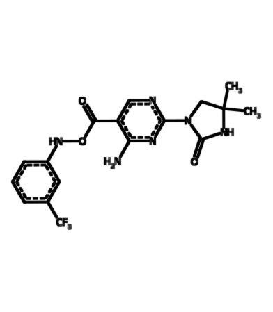 CC1(C)CN(c2ncc(C(=O)ONc3cccc(C(F)(F)F)c3)c(N)n2)C(=O)N1